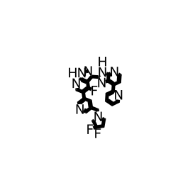 Fc1c(-c2cncc(CN3CCC(F)(F)C3)c2)cnc2[nH]nc(-c3nc4c(-c5ccccn5)ccnc4[nH]3)c12